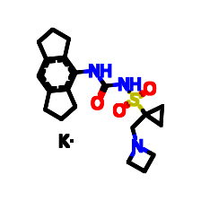 O=C(Nc1c2c(cc3c1CCC3)CCC2)NS(=O)(=O)C1(CN2CCC2)CC1.[K]